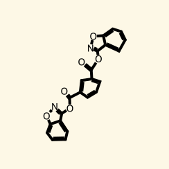 O=C(Oc1noc2ccccc12)c1cccc(C(=O)Oc2noc3ccccc23)c1